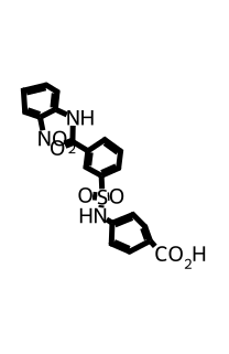 O=C(O)c1ccc(NS(=O)(=O)c2cccc(C(=O)Nc3ccccc3[N+](=O)[O-])c2)cc1